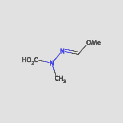 COC=NN(C)C(=O)O